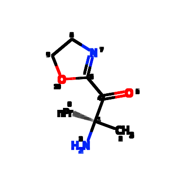 CCC[C@](C)(N)C(=O)C1=NCCO1